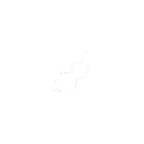 CC1CNCCc2ccc(C(F)(F)F)cc21